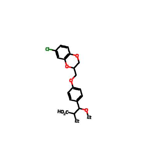 CCOC(c1ccc(OCC2COc3ccc(Cl)cc3O2)cc1)C(CC)C(=O)O